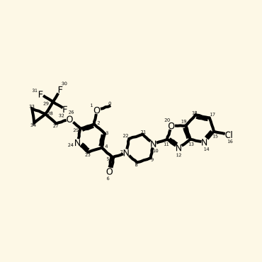 COc1cc(C(=O)N2CCN(c3nc4nc(Cl)ccc4o3)CC2)cnc1OCC1(C(F)(F)F)CC1